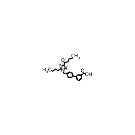 CCCCC(=O)c1nc(CCCC)n(Cc2ccc(-c3cccc(C(=O)O)c3)cc2)n1